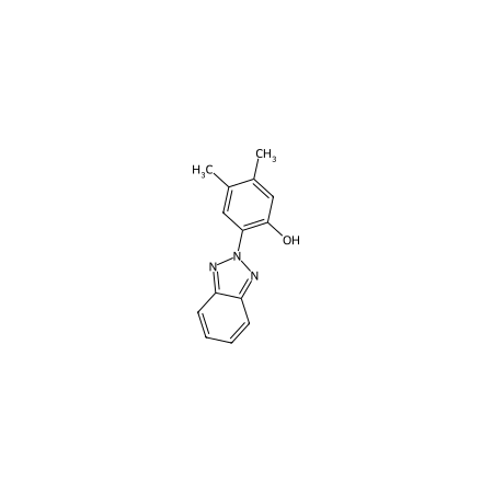 Cc1cc(O)c(-n2nc3ccccc3n2)cc1C